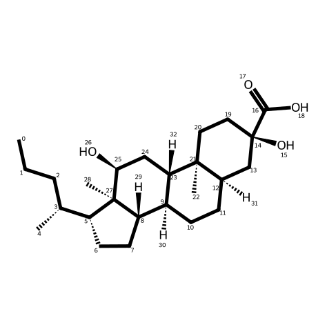 CCC[C@@H](C)[C@H]1CC[C@H]2[C@@H]3CC[C@@H]4C[C@@](O)(C(=O)O)CC[C@]4(C)[C@H]3C[C@H](O)[C@]12C